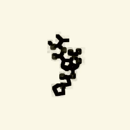 COC(OC(=O)C1C2CC3C(OS(=O)(=O)C31)C2OC(=O)CN1CCCC1)C(C)C